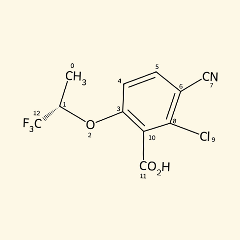 C[C@H](Oc1ccc(C#N)c(Cl)c1C(=O)O)C(F)(F)F